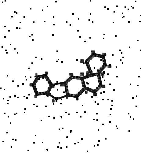 c1ccc2[c](c1)[Y][c]1cc3ccc4ccccc4c3cc1-2